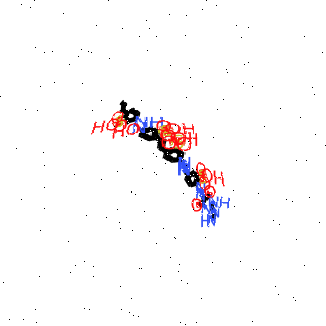 C/C=C/c1ccc(NN(O)c2ccc(/C=C/c3ccc(N=Nc4ccc(N=NC5C(=O)NC(=NC#N)NC5=O)c(S(=O)(=O)O)c4)cc3S(=O)(=O)O)c(S(=O)(=O)O)c2)cc1S(=O)(=O)O